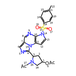 CC(=O)OC1CC(c2ncc3cnc4c(ccn4S(=O)(=O)c4ccc(C)cc4)n23)N(C(C)=O)C1